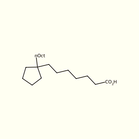 CCCCCCCCC1(CCCCCCC(=O)O)CCCC1